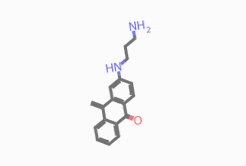 C=C1c2ccccc2C(=O)c2ccc(NCCCN)cc21